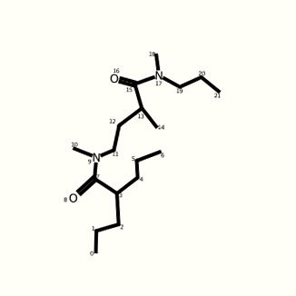 CCCC(CCC)C(=O)N(C)CCC(C)C(=O)N(C)CCC